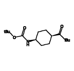 CCC(C)C(=O)[C@H]1CC[C@@H](NC(=O)OC(C)(C)C)CC1